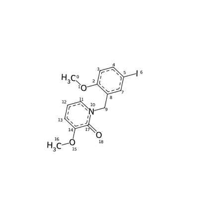 COc1ccc(I)cc1Cn1cccc(OC)c1=O